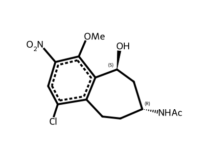 COc1c([N+](=O)[O-])cc(Cl)c2c1[C@@H](O)C[C@H](NC(C)=O)CC2